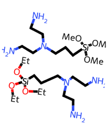 CCO[Si](CCCN(CCN)CCN)(OCC)OCC.CO[Si](CCCN(CCN)CCN)(OC)OC